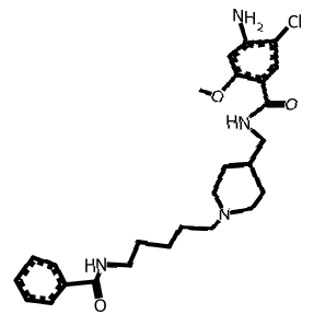 COc1cc(N)c(Cl)cc1C(=O)NCC1CCN(CCCCCNC(=O)c2ccccc2)CC1